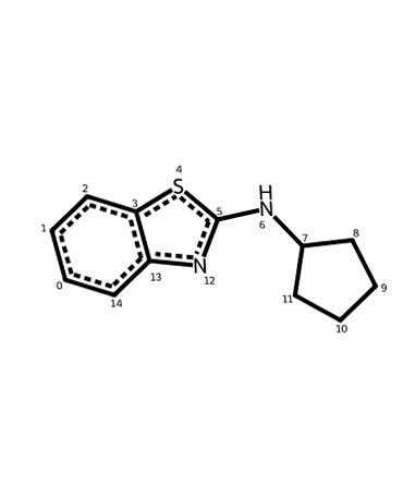 c1ccc2sc(NC3CCCC3)nc2c1